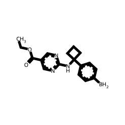 Bc1ccc(C2(Nc3ncc(C(=O)OCC)cn3)CCC2)cc1